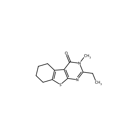 CCc1nc2sc3c(c2c(=O)n1C)CCCC3